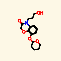 O=C1COc2c(OC3CCCCO3)cccc2N1CCCO